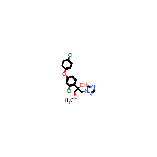 COCC(O)(Cn1cncn1)c1ccc(OC2=CC=C(Cl)CC2)cc1Cl